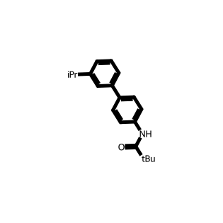 CC(C)c1cccc(-c2ccc(NC(=O)C(C)(C)C)cc2)c1